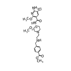 COC(=O)c1ccc(CNCCN2CC[C@@H](NC(=O)c3cc(Cl)c(N)nc3OC)[C@@H](OC)C2)cc1